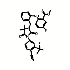 COC(=O)c1cc(F)ccc1Nc1ccccc1CN1C(=O)N(c2ccc(C#N)c(C(F)(F)F)c2)C(=O)C1(C)C